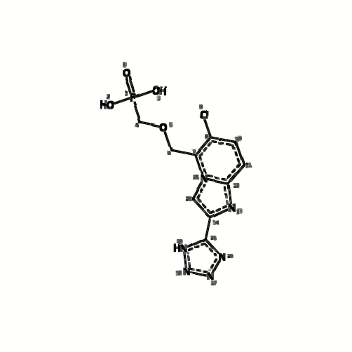 O=P(O)(O)COCc1c(Cl)ccc2nc(-c3nnn[nH]3)cn12